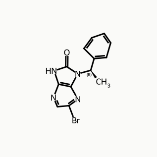 C[C@H](c1ccccc1)n1c(=O)[nH]c2ncc(Br)nc21